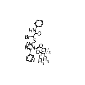 CC(C)(C)OC(=O)n1c(SC(Br)C(=O)Nc2ccccc2)nnc1-c1cccnc1